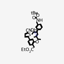 CCOC(=O)Cc1ccc(-c2ccc(C#N)s2)cc1OC(C)/C(C)=C/C(=C(\C)O)c1cccc(CNC(=O)OC(C)(C)C)c1